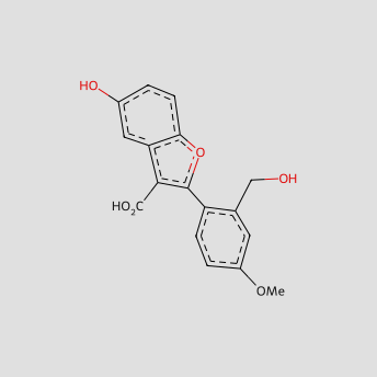 COc1ccc(-c2oc3ccc(O)cc3c2C(=O)O)c(CO)c1